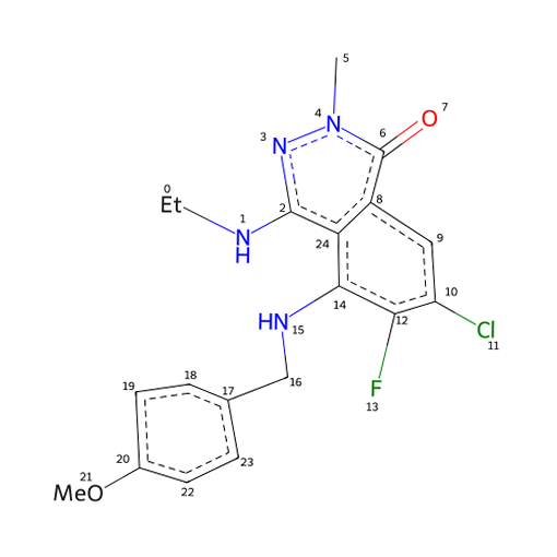 CCNc1nn(C)c(=O)c2cc(Cl)c(F)c(NCc3ccc(OC)cc3)c12